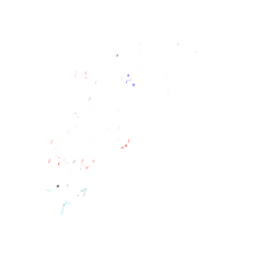 COc1cc(C(=O)c2csc(-c3ccccc3)n2)cc(OC)c1OC(=O)C(F)(F)F